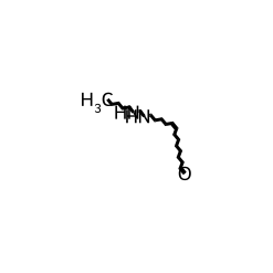 CCCCCNCNCCCC/C=C\CCCCCCC=O